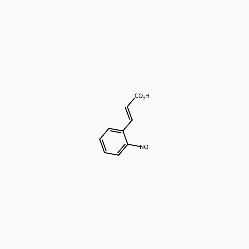 O=Nc1ccccc1/C=C/C(=O)O